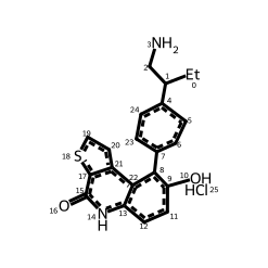 CCC(CN)c1ccc(-c2c(O)ccc3[nH]c(=O)c4sccc4c23)cc1.Cl